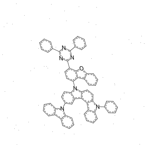 c1ccc(-c2nc(-c3ccccc3)nc(-c3ccc(-n4c5ccc(-n6c7ccccc7c7ccccc76)cc5c5c6c7ccccc7n(-c7ccccc7)c6ccc54)c4c3oc3ccccc34)n2)cc1